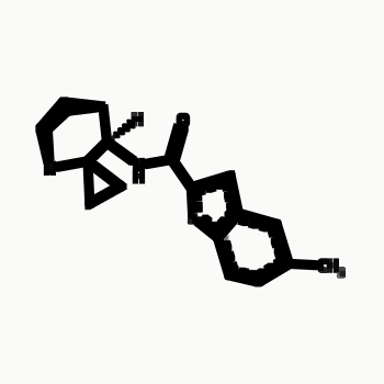 Cc1ccc2sc(C(=O)N[C@@H]3C4CCN(CC4)C34CC4)cc2c1